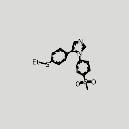 CCSc1ccc(-c2cncn2-c2ccc(S(C)(=O)=O)cc2)cc1